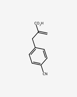 C=C(Cc1ccc(C#N)cc1)C(=O)O